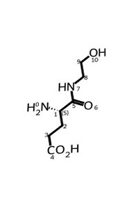 N[C@@H](CCC(=O)O)C(=O)NCCO